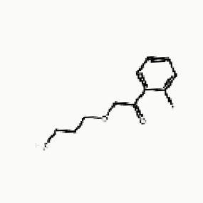 CCCCOCC(=O)c1ccccc1F